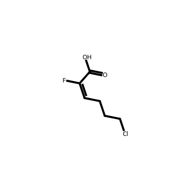 O=C(O)/C(F)=C\CCCCl